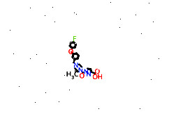 C[C@@H]1CN(Cc2cccc(Oc3ccc(F)cc3)c2)CCN1C(=O)n1ccc(C(=O)O)n1